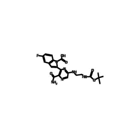 CC(C)(C)OC(=O)NCCNc1cnc(C(N)=O)c(-c2cc3cc(F)ccc3n2C(=O)O)n1